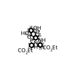 CCOC(=O)c1cccc(Nc2c(F)c3c(c(F)c2Nc2cccc(C(=O)OCC)c2)C(=O)c2c(O)ccc(O)c2C3=O)c1